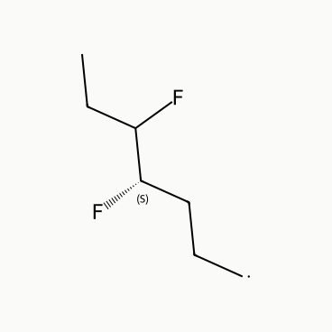 [CH2]CC[C@H](F)C(F)CC